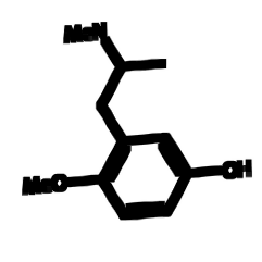 CNC(C)Cc1cc(O)ccc1OC